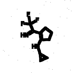 N=C(C1=C(NC2CC2)CCC1)C(F)(F)F